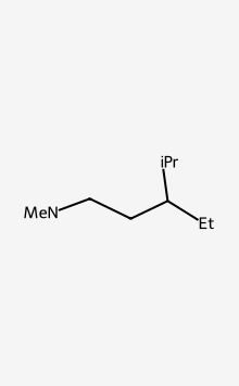 CCC(CCNC)C(C)C